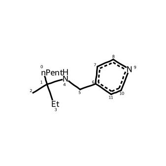 CCCCCC(C)(CC)NCc1ccncc1